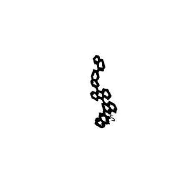 c1ccc2cc3c(cc2c1)sc1c2ccccc2c(-c2c4ccccc4c(-c4ccc5ccc(-c6cccc7ccccc67)cc5c4)c4ccccc24)cc31